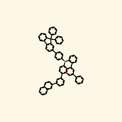 c1ccc(-c2cccc(-c3ccccc3N(c3ccc(-c4cccc(-c5ccc6ccccc6c5)c4)cc3)c3ccc(-c4ccc5c(c4)C(c4ccccc4)(c4ccccc4)c4ccccc4-5)cc3)c2)cc1